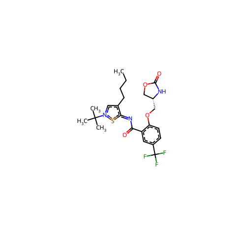 CCCCc1cn(C(C)(C)C)s/c1=N\C(=O)c1cc(C(F)(F)F)ccc1OC[C@@H]1COC(=O)N1